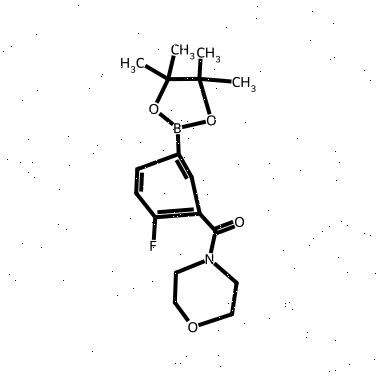 CC1(C)OB(c2ccc(F)c(C(=O)N3CCOCC3)c2)OC1(C)C